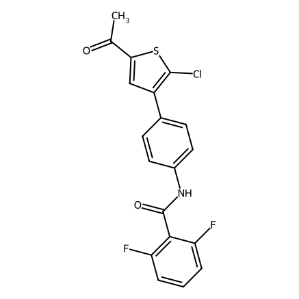 CC(=O)c1cc(-c2ccc(NC(=O)c3c(F)cccc3F)cc2)c(Cl)s1